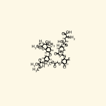 COC(=O)CSc1cc(/N=c2\sc(=O)n3n2CCCC3)c(F)cc1Cl.CON(C)C(=O)Nc1ccc(Oc2ccc3c(c2)OC(C)(OC)CC3(C)C)cc1.CP(=O)(O)CCC(N)C(=O)O